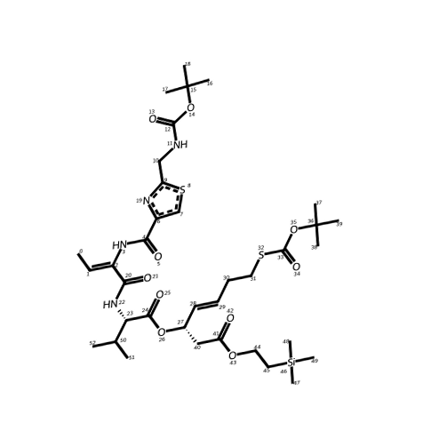 C/C=C(\NC(=O)c1csc(CNC(=O)OC(C)(C)C)n1)C(=O)N[C@H](C(=O)O[C@H](/C=C/CCSC(=O)OC(C)(C)C)CC(=O)OCC[Si](C)(C)C)C(C)C